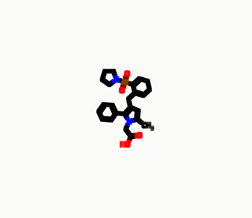 Cc1cc(CC2=CCCC=C2S(=O)(=O)N2CCCC2)c(-c2ccccc2)n1CC(=O)O